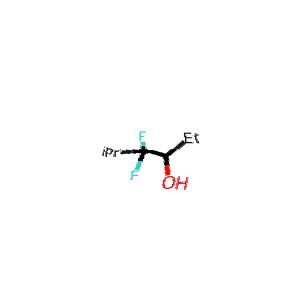 CCC(O)C(F)(F)C(C)C